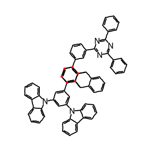 c1ccc(-c2nc(-c3ccccc3)nc(-c3cccc(-c4ccc(-c5cc(-n6c7ccccc7c7ccccc76)cc(-n6c7ccccc7c7ccccc76)c5)c5c4C4c6ccccc6C5c5ccccc54)c3)n2)cc1